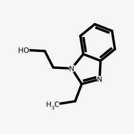 CCc1nc2ccccc2n1CCO